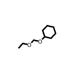 CCOCOC1CCCCC1